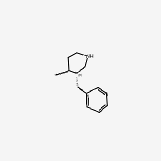 C[C]1CCNC[C@@H]1Cc1ccccc1